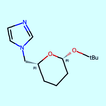 CC(C)(C)O[C@@H]1CCC[C@H](Cn2ccnc2)O1